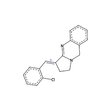 Clc1ccccc1/C=C1\CCN2Cc3ccccc3N=C12